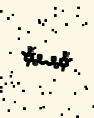 Cc1cc(C)c(OC(=O)CCCC(=O)Oc2cc(Br)c(C)cc2C)cc1Br